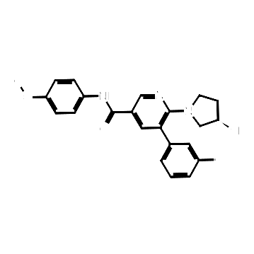 C[C@@H]1CCN(c2ncc(C(=O)Nc3ccc(OC(F)(F)F)cc3)cc2-c2cccc(F)c2)C1